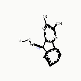 CCO/N=C1/c2ccccc2-c2nc(C#N)c(C#N)nc21